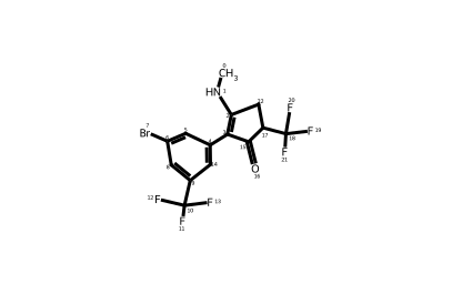 CNC1=C(c2cc(Br)cc(C(F)(F)F)c2)C(=O)C(C(F)(F)F)C1